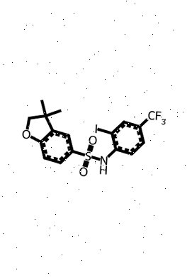 CC1(C)COc2ccc(S(=O)(=O)Nc3ccc(C(F)(F)F)cc3I)cc21